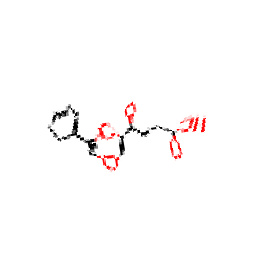 O=C(O)CCC(=O)C1=COC=C(C2=CC=CCC2)O1